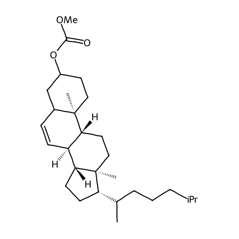 COC(=O)OC1CC[C@]2(C)C(C=C[C@@H]3[C@H]4CC[C@@H](C(C)CCCC(C)C)[C@]4(C)CC[C@H]32)C1